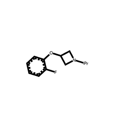 CC(C)N1CC(Oc2ccccc2F)C1